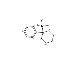 C[N+](C)(C)C1(c2ccccc2)CCCCC1